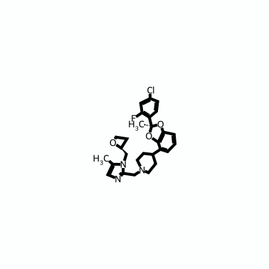 Cc1cnc(CN2CCC(c3cccc4c3O[C@@](C)(c3ccc(Cl)cc3F)O4)CC2)n1C[C@@H]1CCO1